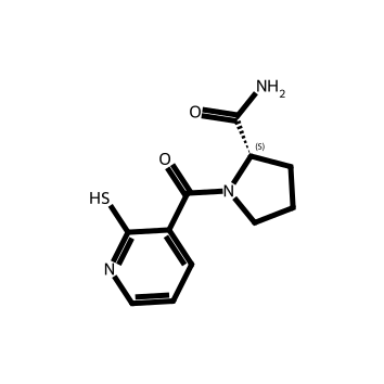 NC(=O)[C@@H]1CCCN1C(=O)c1cccnc1S